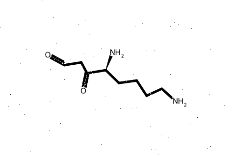 NCCCC[C@H](N)C(=O)C[C]=O